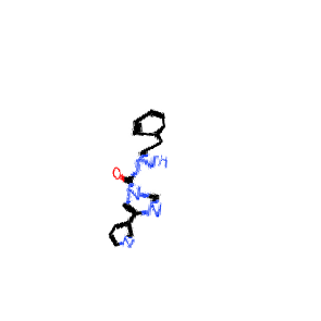 O=C(NCCc1ccccc1)n1cnc(-c2cccnc2)c1